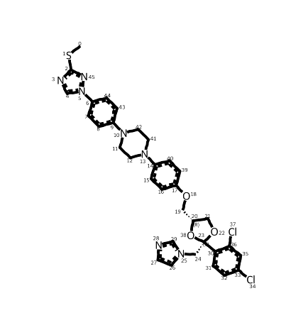 CSc1ncn(-c2ccc(N3CCN(c4ccc(OC[C@@H]5CO[C@@](Cn6ccnc6)(c6ccc(Cl)cc6Cl)O5)cc4)CC3)cc2)n1